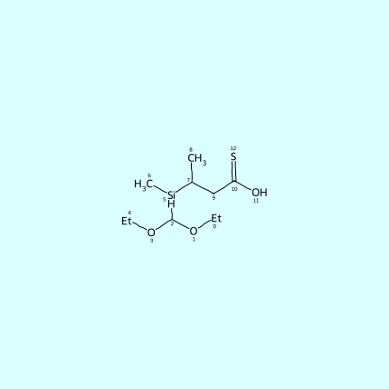 CCOC(OCC)[SiH](C)C(C)CC(O)=S